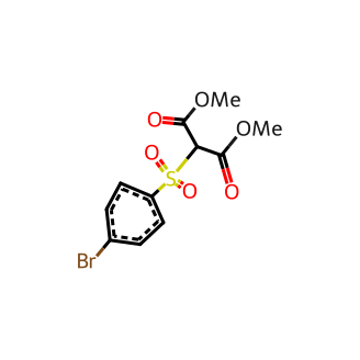 COC(=O)C(C(=O)OC)S(=O)(=O)c1ccc(Br)cc1